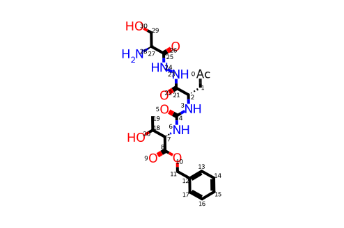 CC(=O)C[C@H](NC(=O)N[C@H](C(=O)OCc1ccccc1)C(C)O)C(=O)NNC(=O)[C@@H](N)CO